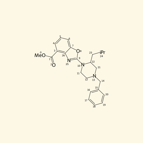 COC(=O)c1cccc2oc(N3CCN(Cc4ccccc4)CC3CC(C)C)nc12